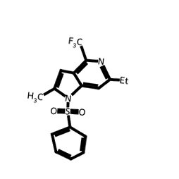 CCc1cc2c(cc(C)n2S(=O)(=O)c2ccccc2)c(C(F)(F)F)n1